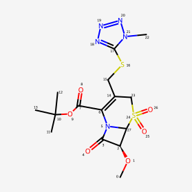 CO[C@H]1C(=O)N2C(C(=O)OC(C)(C)C)=C(CSc3nnnn3C)CS(=O)(=O)C12